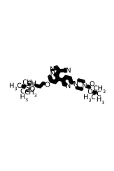 CC(C)(C)OC(=O)N1CCN(c2ccc(-c3cc(OCCCO[Si](C)(C)C(C)(C)C)cn4ncc(C#N)c34)cn2)CC1